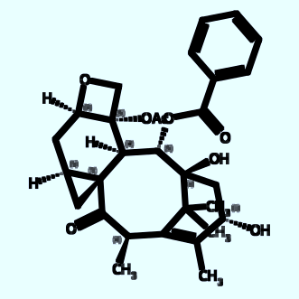 CC(=O)O[C@@]12CO[C@@H]1C[C@@H]1C[C@@]13C(=O)[C@H](C)C1=C(C)[C@@H](O)C[C@@](O)([C@@H](OC(=O)c4ccccc4)[C@H]23)C1(C)C